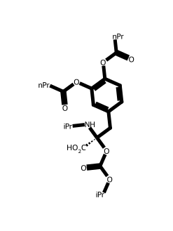 CCCC(=O)Oc1ccc(C[C@](NC(C)C)(OC(=O)OC(C)C)C(=O)O)cc1OC(=O)CCC